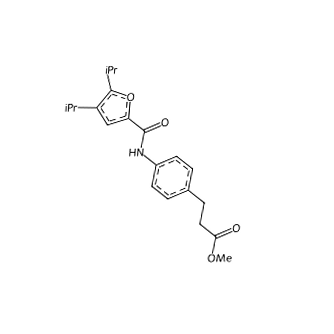 COC(=O)CCc1ccc(NC(=O)c2cc(C(C)C)c(C(C)C)o2)cc1